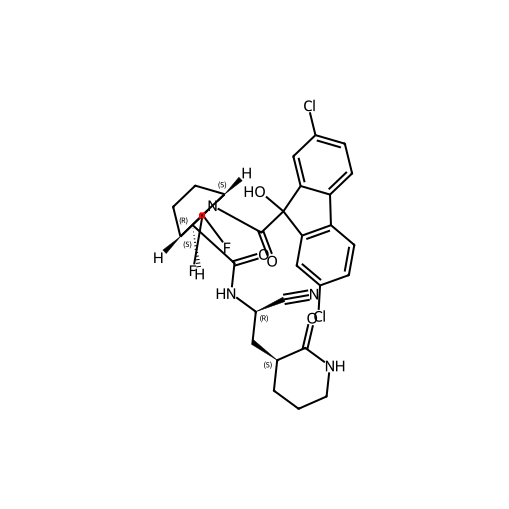 N#C[C@@H](C[C@@H]1CCCNC1=O)NC(=O)[C@H]1[C@@H]2CC[C@@H](CC2(F)F)N1C(=O)C1(O)c2cc(Cl)ccc2-c2ccc(Cl)cc21